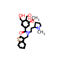 COc1cc(C(=O)N(CCC2CCCN2C)Cc2csc3ccccc23)cc(CO)c1CO